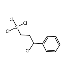 ClC(CC[Si](Cl)(Cl)Cl)c1ccccc1